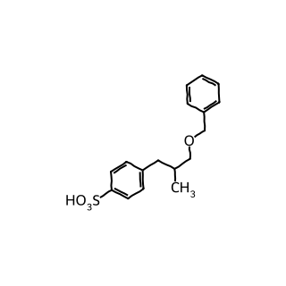 CC(COCc1ccccc1)Cc1ccc(S(=O)(=O)O)cc1